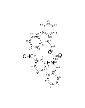 O=Cc1ccc(-c2ccccc2CNC(=O)OCC2c3ccccc3-c3ccccc32)cc1